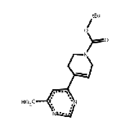 CC(C)(C)OC(=O)N1CC=C(c2cc(C(=O)O)ncn2)CC1